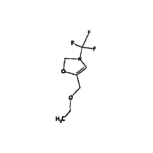 CCOCC1=CN(C(F)(F)F)CO1